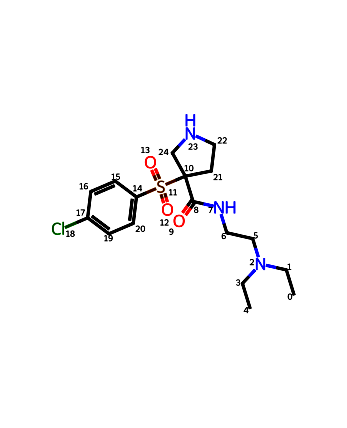 CCN(CC)CCNC(=O)C1(S(=O)(=O)c2ccc(Cl)cc2)CCNC1